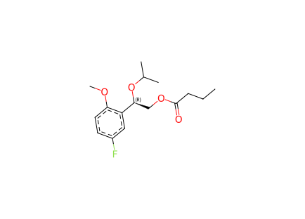 CCCC(=O)OC[C@H](OC(C)C)c1cc(F)ccc1OC